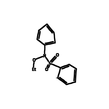 CCON(c1ccccc1)S(=O)(=O)c1[c]cccc1